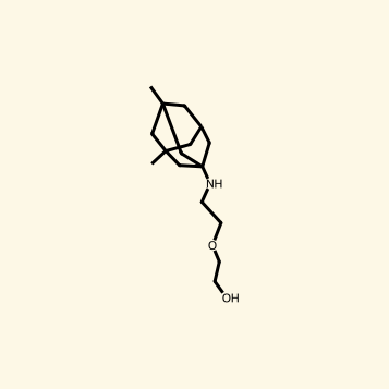 CC12CC3CC(C)(C1)CC(NCCOCCO)(C3)C2